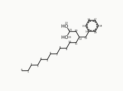 CCCCCCCCCCCCC(Cc1ccccc1)CC(O)O